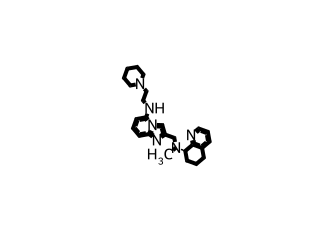 CN(Cc1cn2c(NCCN3CCCCC3)cccc2n1)[C@H]1CCCc2cccnc21